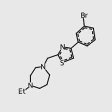 CCN1CCCN(Cc2nc(-c3cccc(Br)c3)cs2)CC1